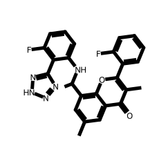 Cc1cc(C(C)Nc2cccc(F)c2-c2nn[nH]n2)c2oc(-c3ccccc3F)c(C)c(=O)c2c1